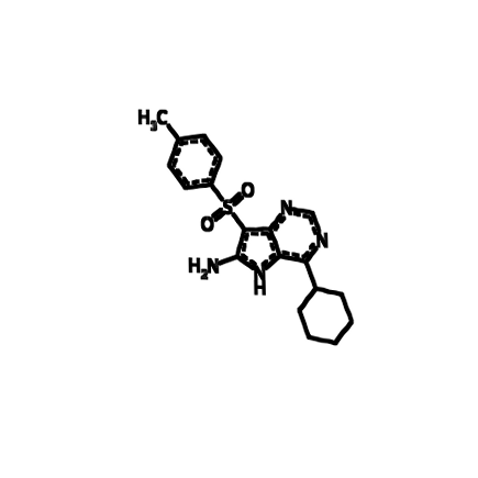 Cc1ccc(S(=O)(=O)c2c(N)[nH]c3c(C4CCCCC4)ncnc23)cc1